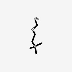 CC(C)(C)COCCS(C)(C)C